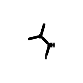 CB(C)NI